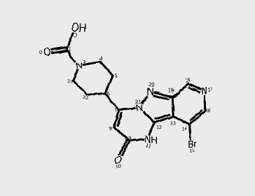 O=C(O)N1CCC(c2cc(=O)[nH]c3c4c(Br)cncc4nn23)CC1